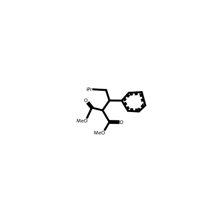 COC(=O)C(C(=O)OC)C(CC(C)C)c1ccccc1